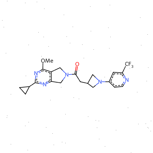 COc1nc(C2CC2)nc2c1CN(C(=O)CC1CN(c3ccnc(C(F)(F)F)c3)C1)C2